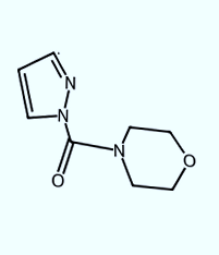 O=C(N1CCOCC1)n1cc[c]n1